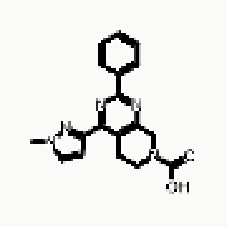 Cn1ccc(-c2nc(-c3ccccc3)nc3c2CCN(C(=O)O)C3)n1